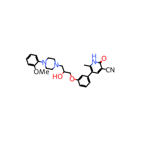 COc1ccccc1N1CCN(CC(O)COc2cccc(-c3cc(C#N)c(=O)[nH]c3C)c2)CC1